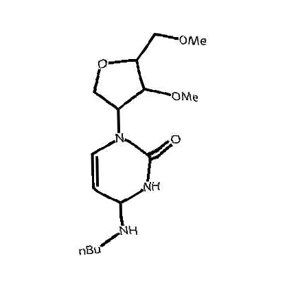 CCCCNC1C=CN(C2COC(COC)C2OC)C(=O)N1